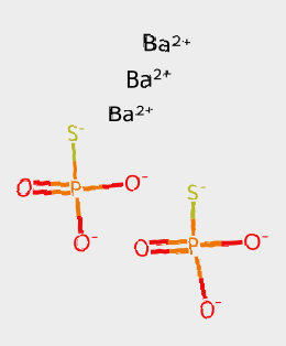 O=P([O-])([O-])[S-].O=P([O-])([O-])[S-].[Ba+2].[Ba+2].[Ba+2]